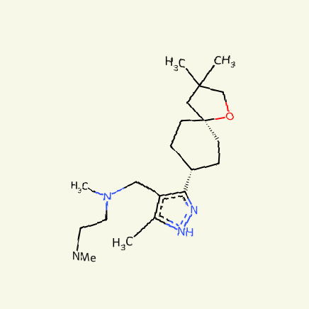 CNCCN(C)Cc1c(C)[nH]nc1[C@H]1CC[C@]2(CC1)CC(C)(C)CO2